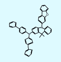 CC1(C)c2ccccc2N(c2ccc3c(c2)oc2ccccc23)c2ccc(N(c3ccc(-c4ccccc4)cc3)c3ccc(-c4ccccc4)cc3)cc21